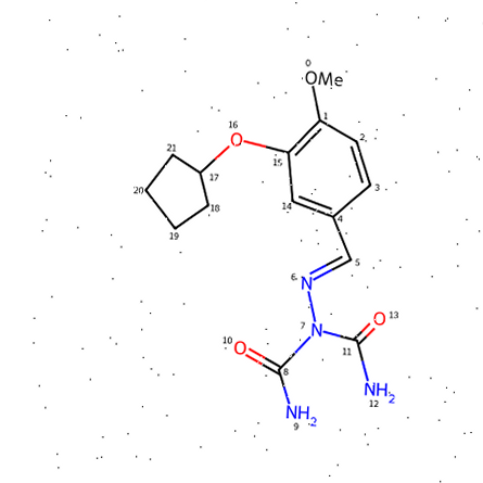 COc1ccc(C=NN(C(N)=O)C(N)=O)cc1OC1CCCC1